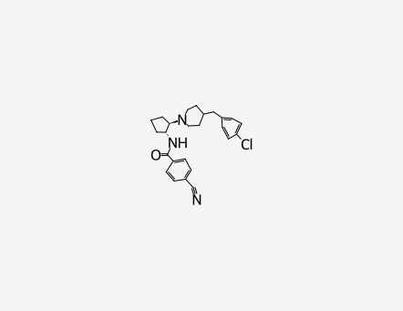 N#Cc1ccc(C(=O)N[C@@H]2CCC[C@H]2N2CCC(Cc3ccc(Cl)cc3)CC2)cc1